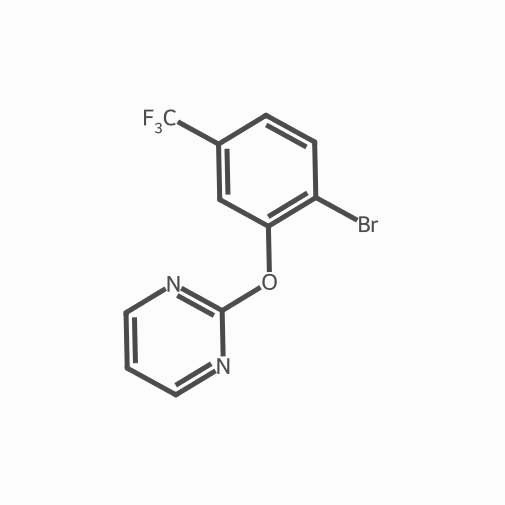 FC(F)(F)c1ccc(Br)c(Oc2ncccn2)c1